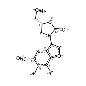 COC[C@H]1CN(c2coc3c(F)c(F)c(C=O)cc23)C(=O)S1